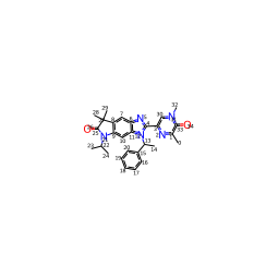 Cc1nc(-c2nc3cc4c(cc3n2C(C)c2ccccc2)N(C(C)C)C(=O)C4(C)C)cn(C)c1=O